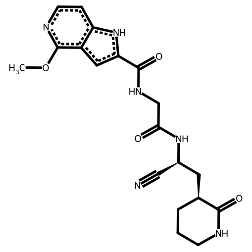 COc1nccc2[nH]c(C(=O)NCC(=O)N[C@H](C#N)C[C@@H]3CCCNC3=O)cc12